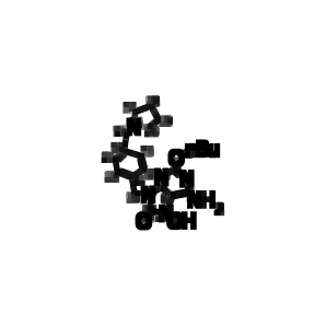 CCCCOc1nc(N)c2c(n1)n(Cc1ccc(CN3CCCC3)cc1)c(=O)n2O